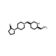 N/C=C1/CC/C(=C\N2CCC(N3CCCC3=O)CC2)CN1